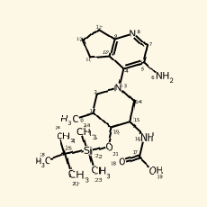 CC1CN(c2c(N)cnc3c2CCC3)CC(NC(=O)O)C1O[Si](C)(C)C(C)(C)C